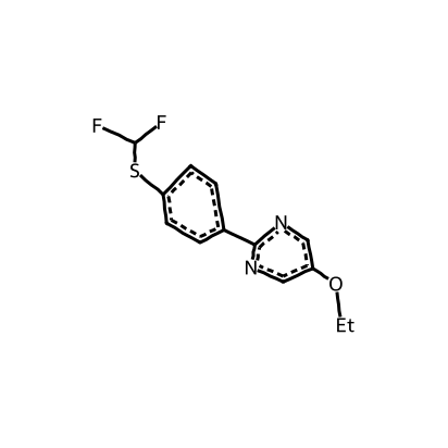 CCOc1cnc(-c2ccc(SC(F)F)cc2)nc1